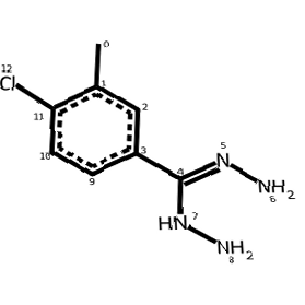 Cc1cc(/C(=N/N)NN)ccc1Cl